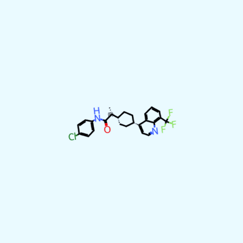 C[C@@H](C(=O)Nc1ccc(Cl)cc1)[C@H]1CC[C@@H](c2ccnc3c(C(F)(F)F)cccc32)CC1